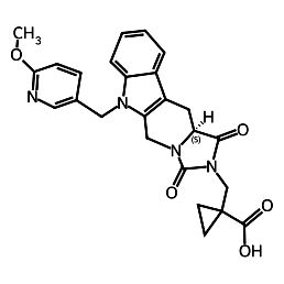 COc1ccc(Cn2c3c(c4ccccc42)C[C@H]2C(=O)N(CC4(C(=O)O)CC4)C(=O)N2C3)cn1